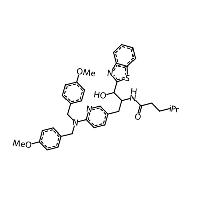 COc1ccc(CN(Cc2ccc(OC)cc2)c2ccc(CC(NC(=O)CCC(C)C)C(O)c3nc4ccccc4s3)cn2)cc1